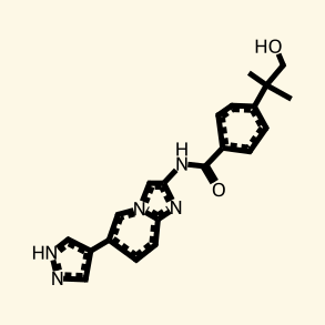 CC(C)(CO)c1ccc(C(=O)Nc2cn3cc(-c4cn[nH]c4)ccc3n2)cc1